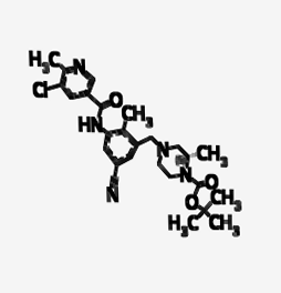 Cc1ncc(C(=O)Nc2cc(C#N)cc(CN3CCN(C(=O)OC(C)(C)C)[C@@H](C)C3)c2C)cc1Cl